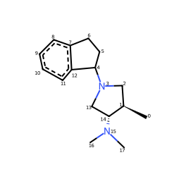 C[C@@H]1CN(C2CCc3ccccc32)C[C@H]1N(C)C